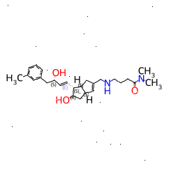 Cc1cccc(C[C@H](O)/C=C/[C@@H]2[C@H]3CC(CNCCCC(=O)N(C)C)=C[C@H]3C[C@H]2O)c1